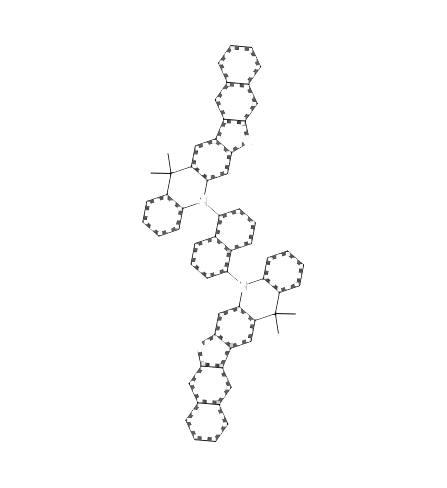 CC1(C)c2ccccc2N(c2cccc3c(N4c5ccccc5C(C)(C)c5cc6c(cc54)sc4cc5ccccc5cc46)cccc23)c2cc3sc4cc5ccccc5cc4c3cc21